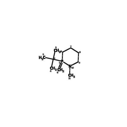 C=P1(C(C)(C)C)CCCCN1C